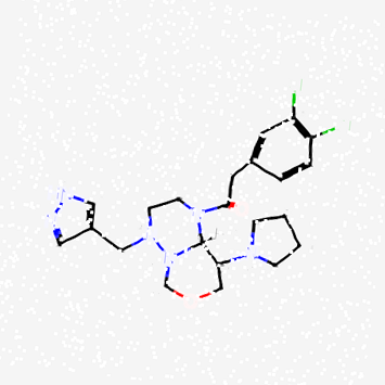 O=C(Cc1ccc(Cl)c(Cl)c1)N1CCN(Cc2cn[nH]c2)N2COCC(N3CCCC3)[C@@H]12